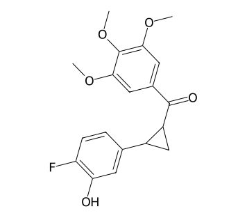 COc1cc(C(=O)C2CC2c2ccc(F)c(O)c2)cc(OC)c1OC